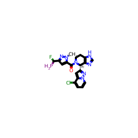 Cn1nc(C(F)P)cc1C(=O)N1CCc2[nH]cnc2[C@@H]1c1cc2c(Cl)cccn2n1